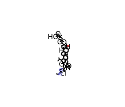 C=C(/C=C\C(Cl)=C/C)c1noc(C[C@@]23CC[C@]4(C)C(CC[C@@H]5C6(C)CC[C@H](OC(=O)CC(C)(C)C(=O)O)C(C)(C)[C@@H]6CC[C@]54C)C2=C(C(C)C)C(=O)C3)n1